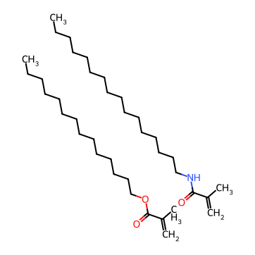 C=C(C)C(=O)NCCCCCCCCCCCCCCCC.C=C(C)C(=O)OCCCCCCCCCCCCCC